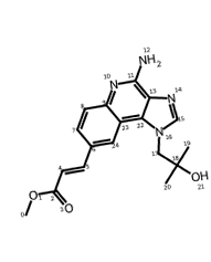 COC(=O)/C=C/c1ccc2nc(N)c3ncn(CC(C)(C)O)c3c2c1